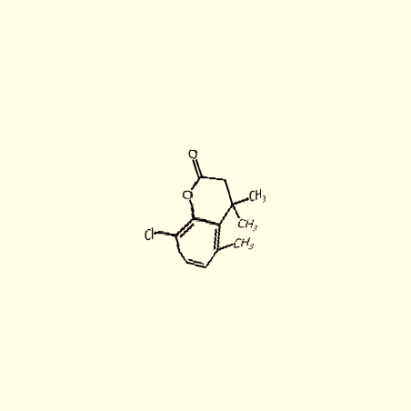 Cc1ccc(Cl)c2c1C(C)(C)CC(=O)O2